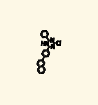 ClC1=NC(c2ccc(-c3ccc4ccccc4c3)cc2)NC(c2ccccc2)=N1